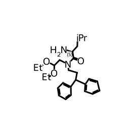 CCOC(CN(CCC(c1ccccc1)c1ccccc1)C(=O)[C@@H](N)CC(C)C)OCC